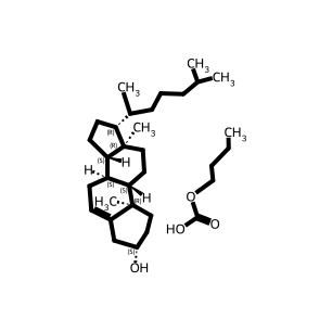 CC(C)CCCC(C)[C@H]1CC[C@H]2[C@@H]3CC=C4C[C@@H](O)CC[C@]4(C)[C@H]3CC[C@]12C.CCCCOC(=O)O